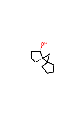 O[C@H]1CCC[C@@]12CC21CCCC1